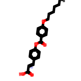 CCCCCCOc1ccc(C(=O)Oc2ccc(/C=C/C(=O)O)cc2)cc1